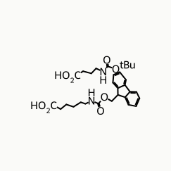 CC(C)(C)OC(=O)NCCCC(=O)O.O=C(O)CCCCCNC(=O)OCC1c2ccccc2-c2ccccc21